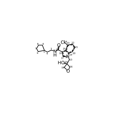 O=C(NCCC1CCCC1)c1cn(CC2(O)COC2)c2cccc(Cl)c12